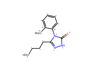 CCCCCCCCCCCCCc1n[nH]c(=S)n1-c1ccccc1OC